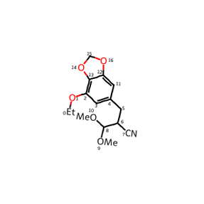 CCOc1cc(CC(C#N)C(OC)OC)cc2c1OCO2